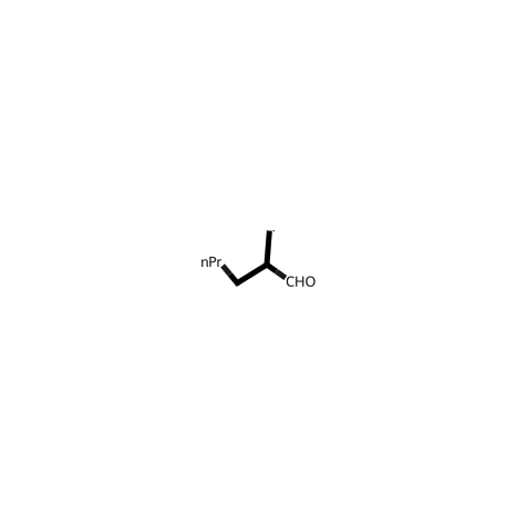 [CH2]C(C=O)CCCC